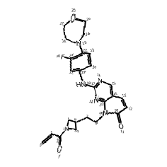 C=CC(=O)N1CC(CCn2c(=O)ccc3cnc(Nc4ccc(N5CCOCC5)c(F)c4)nc32)C1